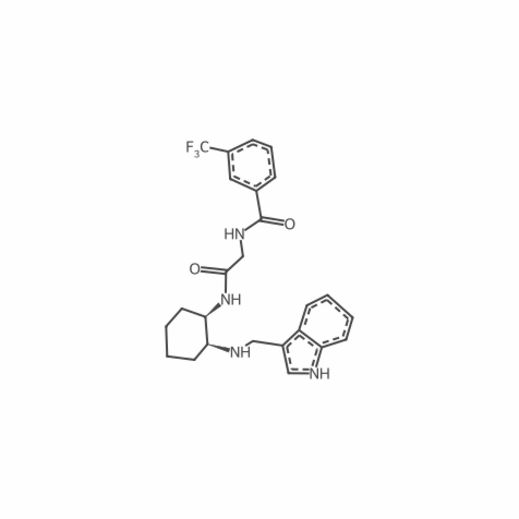 O=C(CNC(=O)c1cccc(C(F)(F)F)c1)N[C@@H]1CCCC[C@@H]1NCc1c[nH]c2ccccc12